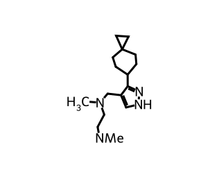 CNCCN(C)Cc1c[nH]nc1C1CCC2(CC1)CC2